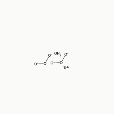 O.[O-]O[O-].[O-]O[O-].[Ti+4]